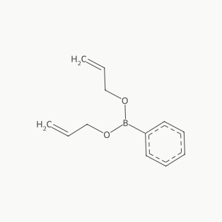 C=CCOB(OCC=C)c1ccccc1